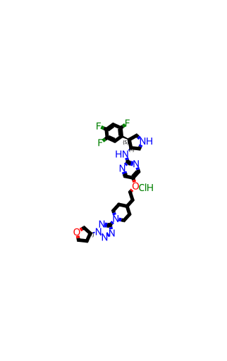 Cl.Fc1cc(F)c([C@H]2CNC[C@@H]2Nc2ncc(OCCC3CCN(c4nnn([C@@H]5CCOC5)n4)CC3)cn2)cc1F